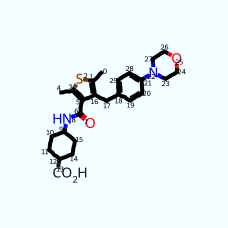 Cc1sc(C)c(C(=O)NC2CCC(C(=O)O)CC2)c1Cc1ccc(N2CCOCC2)cc1